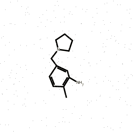 Cc1ccc(CN2CCCC2)cc1N